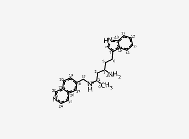 C[C@H](CC(N)CCc1c[nH]c2ccccc12)NCc1ccc2cnccc2c1